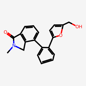 CN1Cc2c(cccc2-c2ccccc2-c2ccc(CO)o2)C1=O